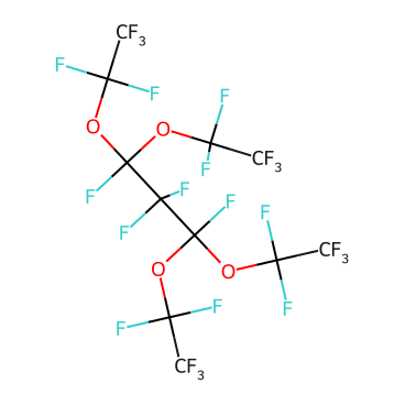 FC(F)(F)C(F)(F)OC(F)(OC(F)(F)C(F)(F)F)C(F)(F)C(F)(OC(F)(F)C(F)(F)F)OC(F)(F)C(F)(F)F